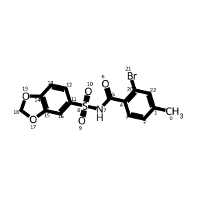 Cc1ccc(C(=O)NS(=O)(=O)c2ccc3c(c2)OCO3)c(Br)c1